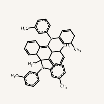 Cc1cccc(N(C2=CC(C)CC=C2)C2=C3C=CC=CC3C(C)(N(c3cccc(C)c3)c3cccc(C)c3)C3=CC=CC(C)C32)c1